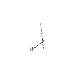 CCCCCCCCCCCCCCCCCC(=O)C(CCCCCC)CCCCCCCCCCC(=O)O